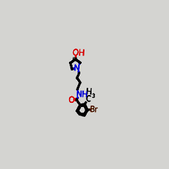 Cc1c(Br)cccc1C(=O)NCCCCN1CC[C@@H](O)C1